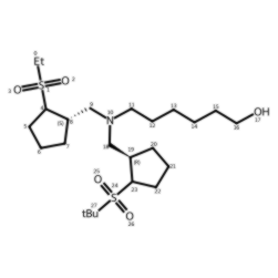 CCS(=O)(=O)C1CCC[C@H]1CN(CCCCCCO)C[C@H]1CCCC1S(=O)(=O)C(C)(C)C